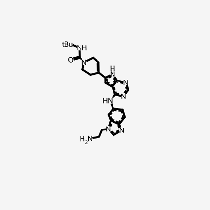 CC(C)(C)NC(=O)N1CC=C(c2cc3c(Nc4ccc5ncn(CCN)c5c4)ncnc3[nH]2)CC1